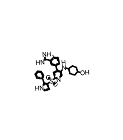 N=C(N)c1cccc(-c2cc(S(=O)(=O)c3cc[nH]c3-c3ccccc3)ncc2NC2CCC(O)CC2)c1